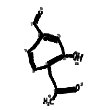 CC(=O)c1ccc(C=O)cc1O